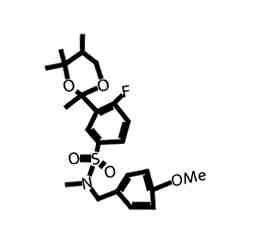 COc1ccc(CN(C)S(=O)(=O)c2ccc(F)c(C3(C)OCC(C)C(C)(C)O3)c2)cc1